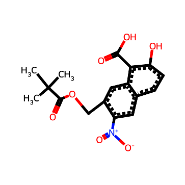 CC(C)(C)C(=O)OCc1cc2c(C(=O)O)c(O)ccc2cc1[N+](=O)[O-]